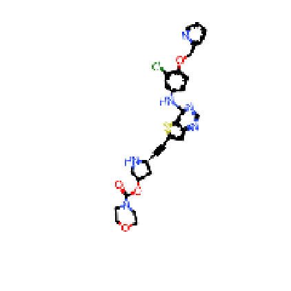 O=C(O[C@H]1CN[C@@H](C#Cc2cc3ncnc(Nc4ccc(OCc5ccccn5)c(Cl)c4)c3s2)C1)N1CCOCC1